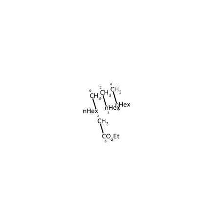 CCCCCCC.CCCCCCC.CCCCCCC.CCOC(C)=O